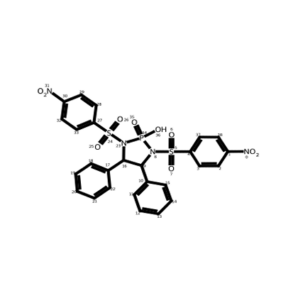 O=[N+]([O-])c1ccc(S(=O)(=O)N2C(c3ccccc3)C(c3ccccc3)N(S(=O)(=O)c3ccc([N+](=O)[O-])cc3)P2(=O)O)cc1